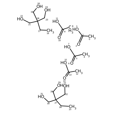 CC(=O)O.CC(=O)O.CC(=O)O.CC(=O)O.CCC(CO)(CO)CO.CCC(CO)(CO)CO